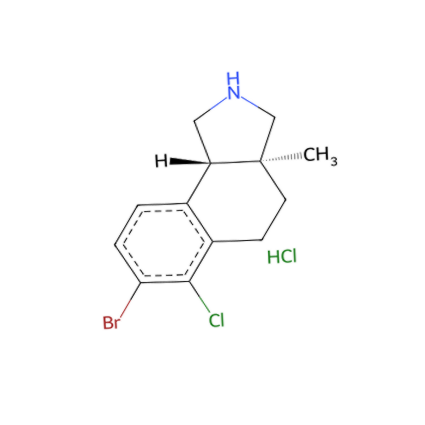 C[C@]12CCc3c(ccc(Br)c3Cl)[C@@H]1CNC2.Cl